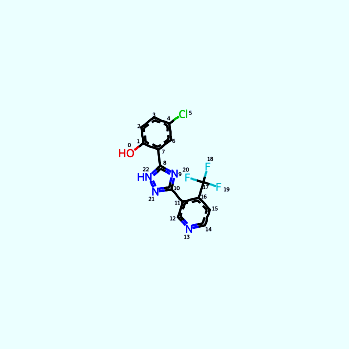 Oc1ccc(Cl)cc1-c1nc(-c2cnccc2C(F)(F)F)n[nH]1